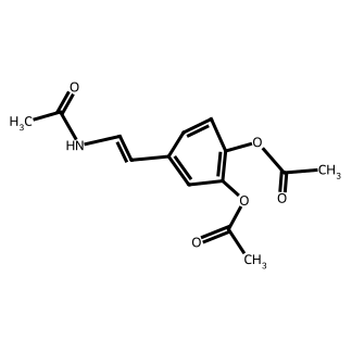 CC(=O)N/C=C/c1ccc(OC(C)=O)c(OC(C)=O)c1